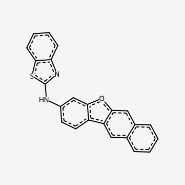 c1ccc2cc3c(cc2c1)oc1cc(Nc2nc4ccccc4s2)ccc13